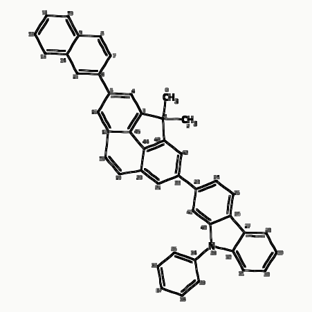 CC1(C)c2cc(-c3ccc4ccccc4c3)cc3ccc4cc(-c5ccc6c7ccccc7n(-c7ccccc7)c6c5)cc1c4c23